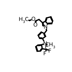 CCOC(=O)Cc1cn(Cc2cccc(N(C)c3ccccc3C(F)(F)F)c2)c2ccccc12